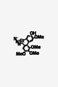 CCc1cc(O)c(OC)cc1-c1c(CN=[N+]=[N-])cc(OC)c(OC)c1OC